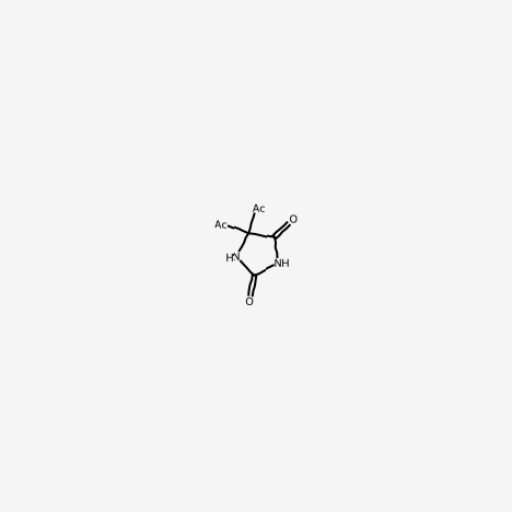 CC(=O)C1(C(C)=O)NC(=O)NC1=O